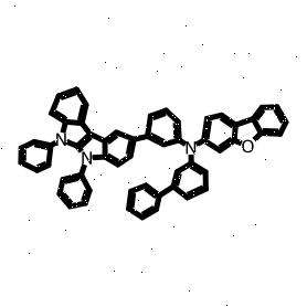 c1ccc(-c2cccc(N(c3cccc(-c4ccc5c(c4)c4c6ccccc6n(-c6ccccc6)c4n5-c4ccccc4)c3)c3ccc4c(c3)oc3ccccc34)c2)cc1